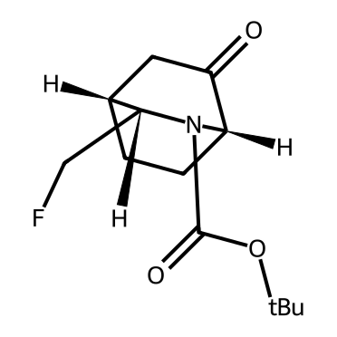 CC(C)(C)OC(=O)N1[C@H](CF)[C@@H]2CC[C@H]1C(=O)C2